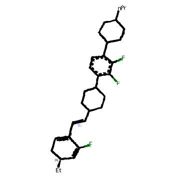 CCCC1CCC(c2ccc(C3CCC(/C=C/C4=CC[C@H](CC)C=C4F)CC3)c(F)c2F)CC1